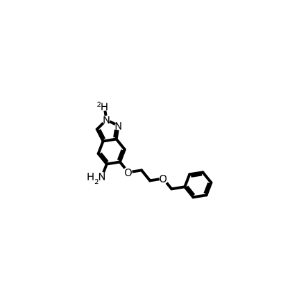 [2H]n1cc2cc(N)c(OCCOCc3ccccc3)cc2n1